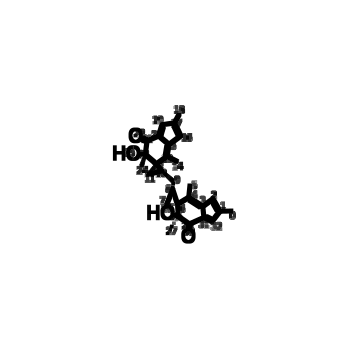 CC1=CC2=C(C)[C@@]3(C[C@@H]3C[C@H]3C[C@@]34C(C)=C3C=C(C)C=C3C(=O)[C@@]4(C)O)[C@](C)(O)C(=O)C2=C1